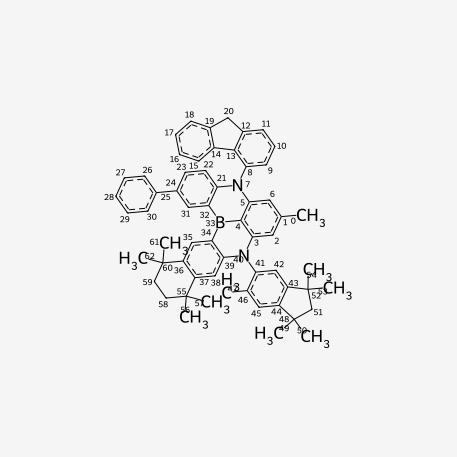 Cc1cc2c3c(c1)N(c1cccc4c1-c1ccccc1C4)c1ccc(-c4ccccc4)cc1B3c1cc3c(cc1N2c1cc2c(cc1C)C(C)(C)CC2(C)C)C(C)(C)CCC3(C)C